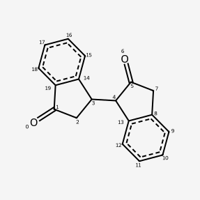 O=C1CC(C2C(=O)Cc3ccccc32)c2ccccc21